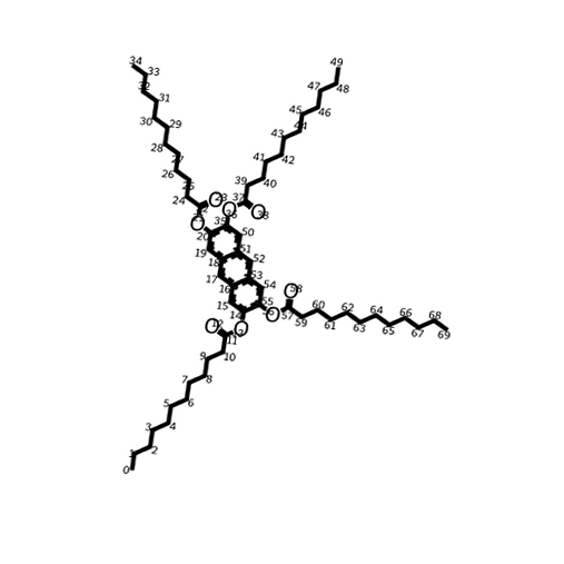 CCCCCCCCCCCC(=O)Oc1cc2cc3cc(OC(=O)CCCCCCCCCCC)c(OC(=O)CCCCCCCCCCC)cc3cc2cc1OC(=O)CCCCCCCCCCC